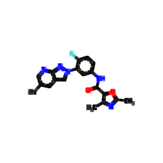 CCC(C)c1cnc2nn(-c3cc(NC(=O)c4oc(C)nc4C)ccc3F)cc2c1